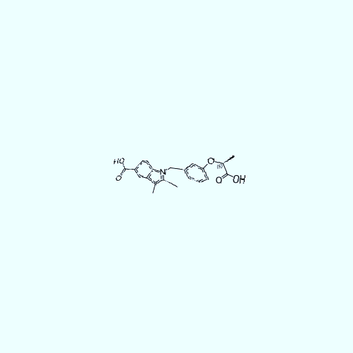 Cc1c(C)n(Cc2cccc(O[C@@H](C)C(=O)O)c2)c2ccc(C(=O)O)cc12